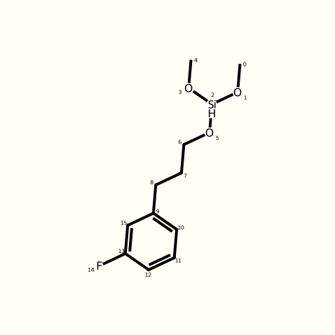 CO[SiH](OC)OCCCc1cccc(F)c1